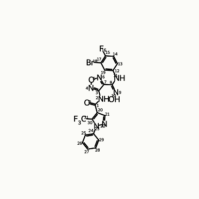 O=C(Nc1nonc1/C(=N\O)Nc1ccc(F)c(Br)c1)c1cnn(-c2ccccc2)c1C(F)(F)F